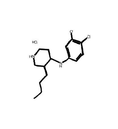 CCCCC1CNCCC1Nc1ccc(Cl)c(Cl)c1.Cl